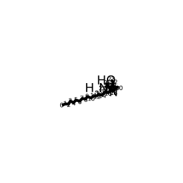 CCCCCCCCCCCCCCCCCc1nc(C)c(CO)n1C(C)N